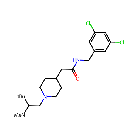 CNC(CN1CCC(CC(=O)NCc2cc(Cl)cc(Cl)c2)CC1)C(C)(C)C